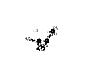 COCCCOc1ccccc1CN(C(=O)C1CNCCC1NC(=O)c1ccc(OCCOc2c(Cl)cc(C)cc2Cl)cc1F)C1CC1.Cl